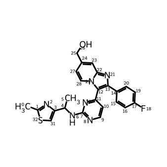 Cc1nc(C(C)Nc2nccc(-c3c(-c4ccc(F)cc4)nc4cc(CO)ccn34)n2)cs1